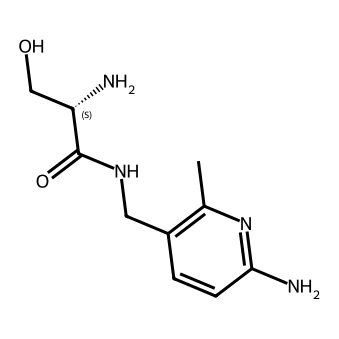 Cc1nc(N)ccc1CNC(=O)[C@@H](N)CO